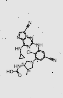 C[C@@H]1CN(c2cc(C#N)cc(Nc3nc(NC4CC4)c4ncc(C#N)n4n3)c2Cl)C[C@@H]1NC(=O)O